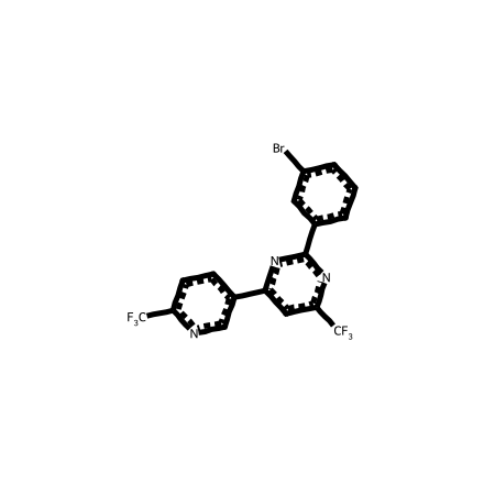 FC(F)(F)c1ccc(-c2cc(C(F)(F)F)nc(-c3cccc(Br)c3)n2)cn1